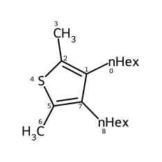 CCCCCCc1c(C)sc(C)c1CCCCCC